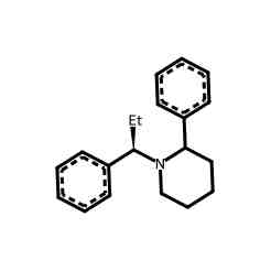 CC[C@H](c1ccccc1)N1CCCCC1c1ccccc1